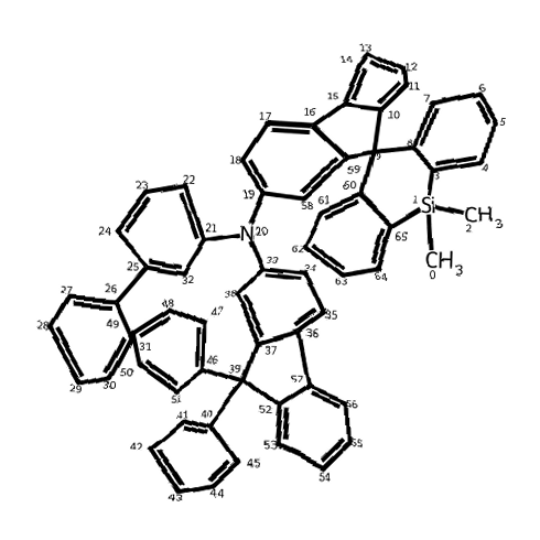 C[Si]1(C)c2ccccc2C2(c3ccccc3-c3ccc(N(c4cccc(-c5ccccc5)c4)c4ccc5c(c4)C(c4ccccc4)(c4ccccc4)c4ccccc4-5)cc32)c2ccccc21